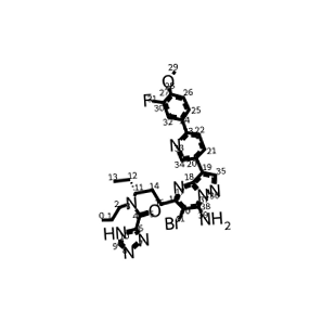 CCCN(C(=O)c1nnc[nH]1)[C@H](CC)CCc1nc2c(-c3ccc(-c4ccc(OC)c(F)c4)nc3)cnn2c(N)c1Br